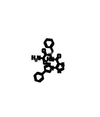 NC(=O)C(=O)[C@H](Cc1ccccc1)NC(=O)c1scnc1-n1cc(-c2ccccc2)cn1